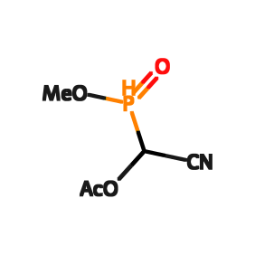 CO[PH](=O)C(C#N)OC(C)=O